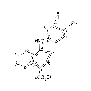 CCOC(=O)c1ncc(Nc2ccc(F)c(Cl)c2)c2c1C1CCC2C1